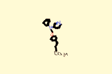 O=C(O)CCCc1ccc(OCCN(c2ccccc2)c2cccnc2)cc1